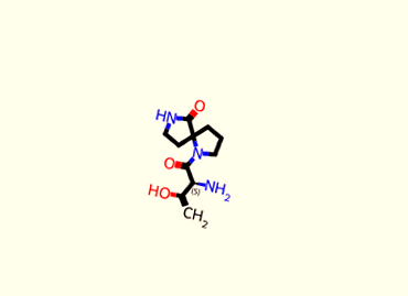 C=C(O)[C@H](N)C(=O)N1CCCC12CCNC2=O